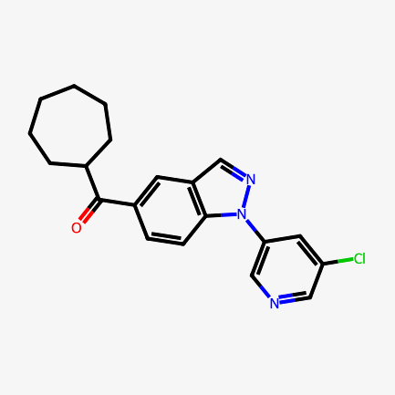 O=C(c1ccc2c(cnn2-c2cncc(Cl)c2)c1)C1CCCCCC1